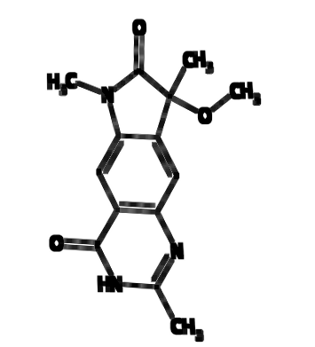 COC1(C)C(=O)N(C)c2cc3c(=O)[nH]c(C)nc3cc21